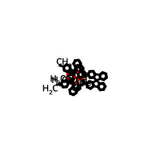 C=Cc1ccc(C2(c3cc(C)ccc3C)c3ccccc3-c3ccc(N(c4ccccc4)c4ccc5c(c4)C4(c6ccccc6-5)c5ccccc5-c5ccc(N(c6ccccc6)c6ccc7c(c6)C(c6ccc(C=C)cc6)(c6cc(C)ccc6C)c6ccccc6-7)cc54)cc32)cc1